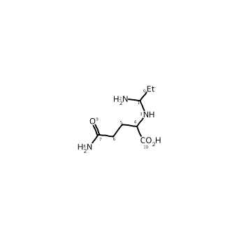 CCC(N)NC(CCC(N)=O)C(=O)O